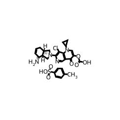 Cc1ccc(S(=O)(=O)O)cc1.N[C@@H]1C=CC[C@@H]2CN(c3ncc4c(=O)c(OC(=O)O)cn(C5CC5)c4c3Cl)C[C@@H]21